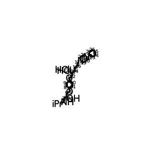 CC(C)NC[C@H](O)COc1ccc(OCCCCCCN2CCN(c3ccccc3)CC2)cc1.Cl.Cl